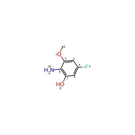 COc1cc(F)cc(O)c1N